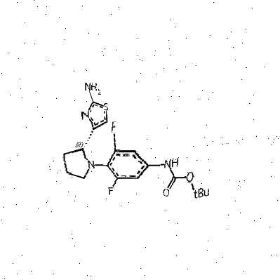 CC(C)(C)OC(=O)Nc1cc(F)c(N2CCC[C@@H]2c2csc(N)n2)c(F)c1